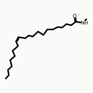 CCCCCCCC/C=C\CCCCCCCCCCCC(=O)NC